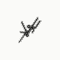 CCCCCCCCCCOC(CCCCC)=C(OCCCCCCCCCC)C(OCOCOC(C(OCCCCCCCCCC)=C(CCCCC)OCCCCCCCCCC)c1ccccc1)c1ccccc1